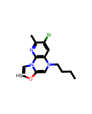 CCCCN1C=C2O[SiH]=CN2c2nc(C)c(Br)cc21